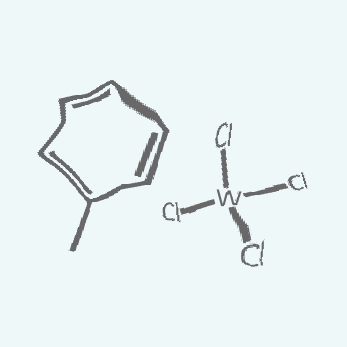 Cc1ccccc1.[Cl][W]([Cl])([Cl])[Cl]